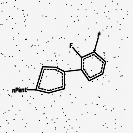 CCCCCc1ccc(-c2cc[c]c(F)c2F)cc1